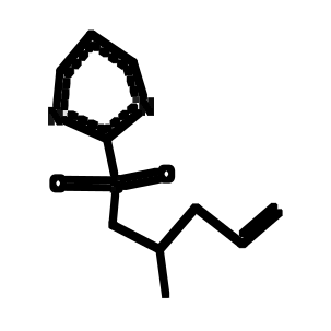 C=CCC(C)CS(=O)(=O)c1ncccn1